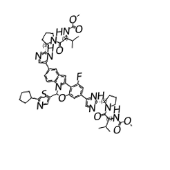 COC(=O)N[C@H](C(=O)N1CCC[C@H]1c1ncc(-c2cc(F)c3c(c2)OC(c2cnc(C4CCCC4)s2)n2c-3cc3cc(-c4cnc([C@@H]5CCCN5C(=O)[C@@H](NC(=O)OC)C(C)C)[nH]4)ccc32)[nH]1)C(C)C